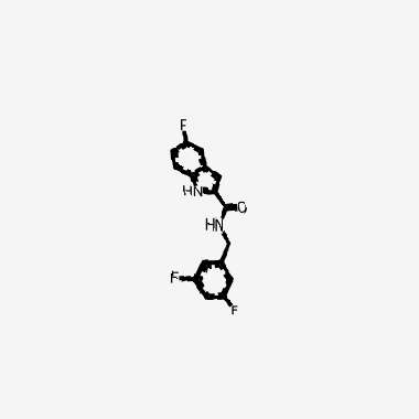 O=C(NCc1cc(F)cc(F)c1)c1cc2cc(F)ccc2[nH]1